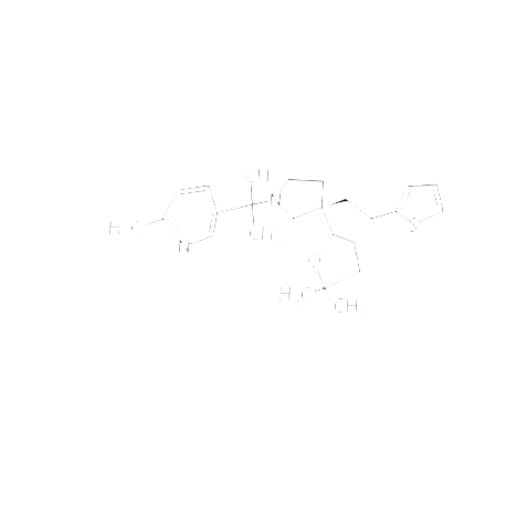 Cc1ccc(C(C)(C)N2CC[C@](CCc3cccs3)(C3CCC(C)(C)O3)C2)cn1